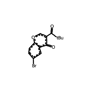 CC(C)(C)C(=O)c1coc2ccc(Br)cc2c1=O